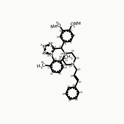 COc1ccc(C(c2nnnn2-c2c(C)cccc2C)N2CCN(C/C=C/c3ccccc3)CC2)cc1OC